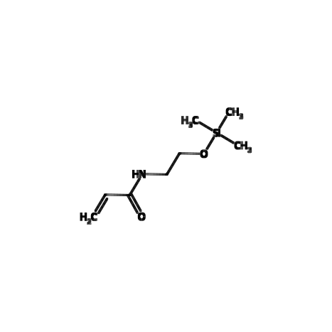 C=CC(=O)NCCO[Si](C)(C)C